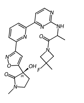 CC(Nc1nccc(-c2cccc(-c3cc([C@]4(O)CCN(C)C4=O)on3)n2)n1)C(=O)N1CC(C)(F)C1